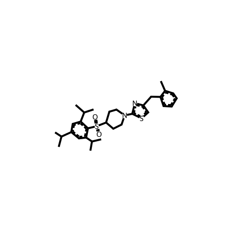 Cc1ccccc1Cc1csc(N2CCC(S(=O)(=O)c3c(C(C)C)cc(C(C)C)cc3C(C)C)CC2)n1